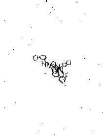 O=C(Cn1nc(-c2ccc(Cl)cc2)n(Cc2ccccc2F)c1=O)NCCc1cccc(Cl)c1